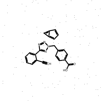 C#Cc1ccccc1-c1nnn(Cc2ccc(C(=O)O)cc2)n1.c1cc2cc-2c1